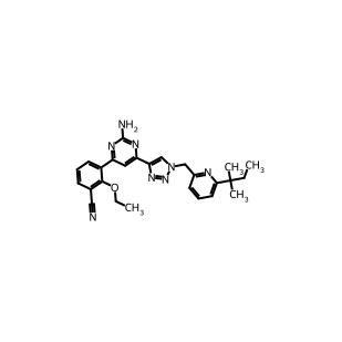 CCOc1c(C#N)cccc1-c1cc(-c2cn(Cc3cccc(C(C)(C)CC)n3)nn2)nc(N)n1